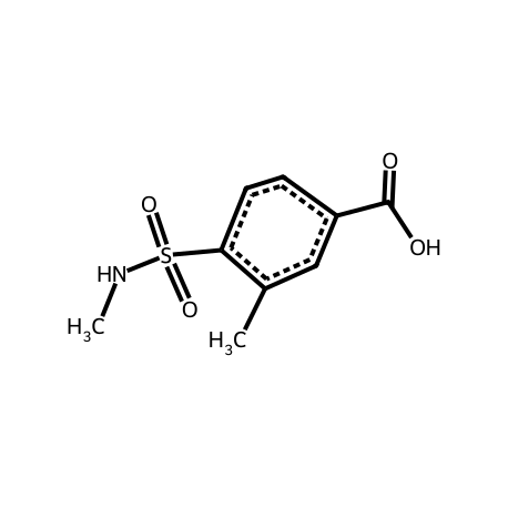 CNS(=O)(=O)c1ccc(C(=O)O)cc1C